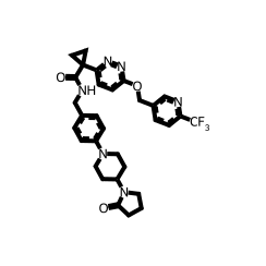 O=C1CCCN1C1CCN(c2ccc(CNC(=O)C3(c4ccc(OCc5ccc(C(F)(F)F)nc5)nn4)CC3)cc2)CC1